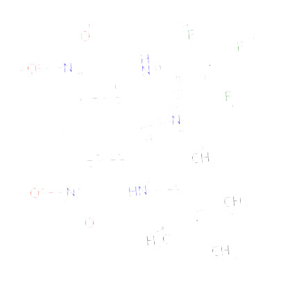 CC(Nc1c([N+](=O)[O-])cc([N+](=O)[O-])c2[nH]c(C(F)(F)F)nc12)C(C)(C)C